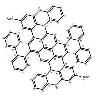 COc1cc2c3c(c1)-c1cc(-c4ccccc4-c4ccccc4)c4cc5c6c(cc(-c7ccccc7-c7ccccc7)c7cc(c1c4c76)B3c1ccccc1O2)-c1cc(OC)cc2c1B5c1ccccc1O2